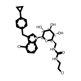 O=C(NCCCl)NC[C@H]1O[C@@H](n2cc(Cc3ccc(C4CC4)cc3)c3c(Cl)cccc32)[C@H](O)[C@@H](O)[C@@H]1O